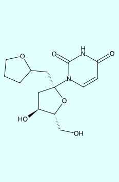 O=c1ccn([C@]2(CC3CCCO3)C[C@H](O)[C@@H](CO)O2)c(=O)[nH]1